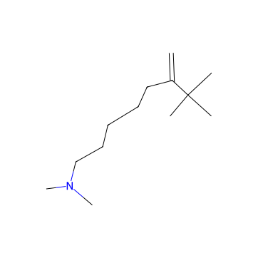 C=C(CCCCCN(C)C)C(C)(C)C